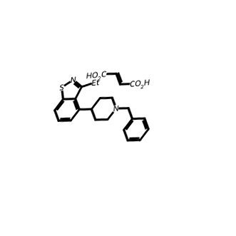 CCc1nsc2cccc(C3CCN(Cc4ccccc4)CC3)c12.O=C(O)C=CC(=O)O